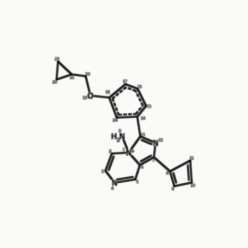 N[N+]12C=CN=CC1=C(C1=CC=C1)N=C2c1cccc(OCC2CC2)c1